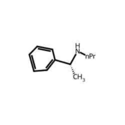 CCCN[C@H](C)c1ccccc1